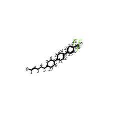 C/C=C/CCCC1CCC(C2CC=C(c3ccc(C(F)(F)F)cc3)CC2)CC1